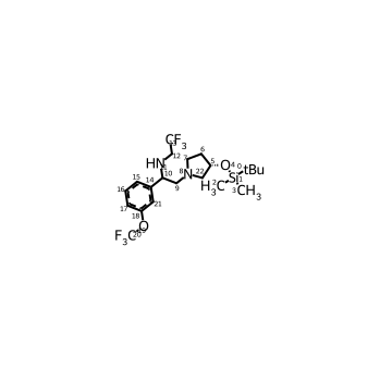 CC(C)(C)[Si](C)(C)O[C@H]1CCN(CC(NCC(F)(F)F)c2cccc(OC(F)(F)F)c2)C1